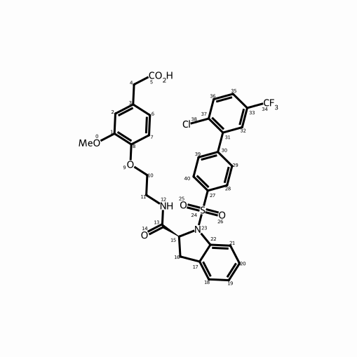 COc1cc(CC(=O)O)ccc1OCCNC(=O)[C@@H]1Cc2ccccc2N1S(=O)(=O)c1ccc(-c2cc(C(F)(F)F)ccc2Cl)cc1